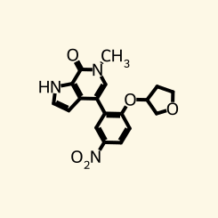 Cn1cc(-c2cc([N+](=O)[O-])ccc2OC2CCOC2)c2cc[nH]c2c1=O